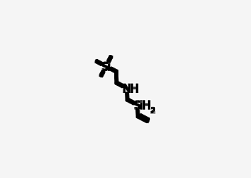 C=C[SiH2]CNCC[Si](C)(C)C